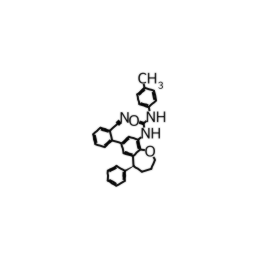 Cc1ccc(NC(=O)Nc2cc(-c3ccccc3C#N)cc3c2OCCC[C@H]3c2ccccc2)cc1